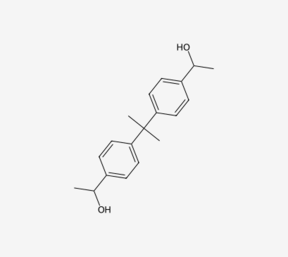 CC(O)c1ccc(C(C)(C)c2ccc(C(C)O)cc2)cc1